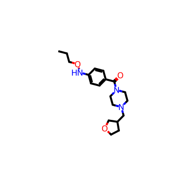 CCCONc1ccc(C(=O)N2CCN(CC3CCOC3)CC2)cc1